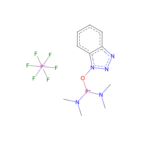 CN(C)[P+](On1nnc2ccccc21)N(C)C.F[P-](F)(F)(F)(F)F